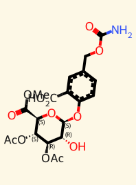 COC(=O)[C@H]1O[C@@H](Oc2ccc(COC(N)=O)cc2C(=O)O)[C@H](O)[C@@H](OC(C)=O)[C@@H]1OC(C)=O